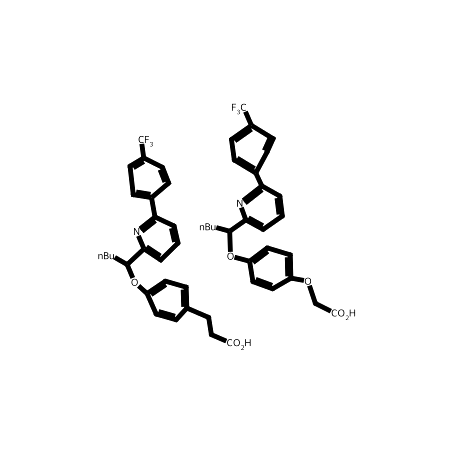 CCCCC(Oc1ccc(CCC(=O)O)cc1)c1cccc(-c2ccc(C(F)(F)F)cc2)n1.CCCCC(Oc1ccc(OCC(=O)O)cc1)c1cccc(-c2ccc(C(F)(F)F)cc2)n1